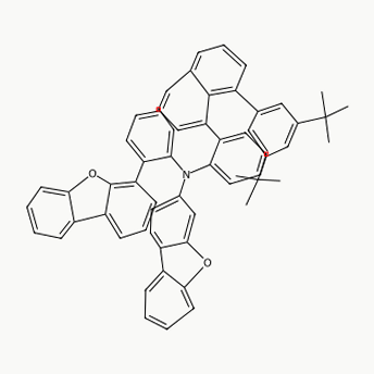 CC(C)(C)c1cc(-c2cccc3cccc(-c4ccccc4N(c4ccc5c(c4)oc4ccccc45)c4ccccc4-c4cccc5c4oc4ccccc45)c23)cc(C(C)(C)C)c1